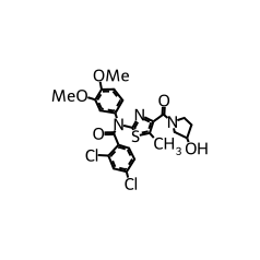 COc1ccc(N(C(=O)c2ccc(Cl)cc2Cl)c2nc(C(=O)N3CCC(O)C3)c(C)s2)cc1OC